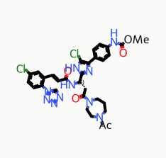 COC(=O)Nc1ccc(-c2nc([C@H](CC(=O)N3CCCN(C(C)=O)CC3)NC(=O)C=Cc3cc(Cl)ccc3-n3cnnn3)[nH]c2Cl)cc1